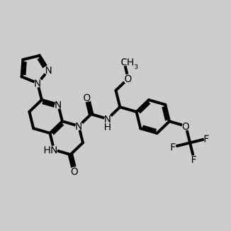 COCC(NC(=O)N1CC(=O)NC2=C1N=C(n1cccn1)CC2)c1ccc(OC(F)(F)F)cc1